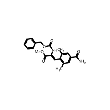 COC(=O)C(=Cc1c(C)cc(C(N)=O)cc1C)NC(=O)OCc1ccccc1